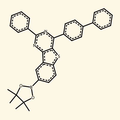 CC1(C)OB(c2ccc3sc4c(-c5ccc(-c6ccccc6)cc5)nc(-c5ccccc5)nc4c3c2)OC1(C)C